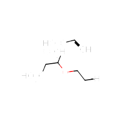 C=CC(=O)O.[2H]CCOC(CC(=O)O)C(=O)O